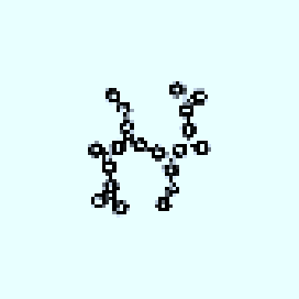 c1ccc(-c2ccc(-c3ccc(N(c4ccc(-c5ccc(N(c6ccc(-c7ccc(-c8ccccc8)s7)cc6)c6ccc(N(c7ccccc7)c7ccc(-c8ccc9c(c8)c8ccccc8n9-c8ccccc8)cc7)cc6)cc5)cc4)c4ccc(N(c5ccccc5)c5ccc(-c6ccc7c(c6)c6ccccc6n7-c6ccccc6)cc5)cc4)cc3)s2)cc1